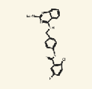 CNc1nc(NCc2ccc(NC(=O)c3cc(F)ccc3Cl)cc2)c2ccccc2n1